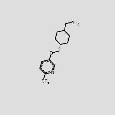 NC[C@H]1CC[C@H](COc2ccc(C(F)(F)F)nc2)CC1